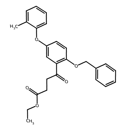 CCOC(=O)CCC(=O)c1cc(Oc2ccccc2C)ccc1OCc1ccccc1